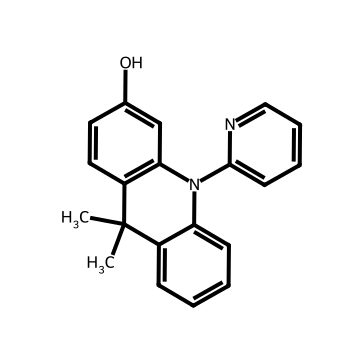 CC1(C)c2ccccc2N(c2ccccn2)c2cc(O)ccc21